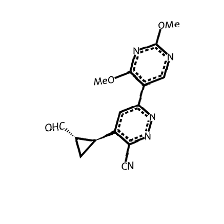 COc1ncc(-c2cc([C@H]3C[C@@H]3C=O)c(C#N)nn2)c(OC)n1